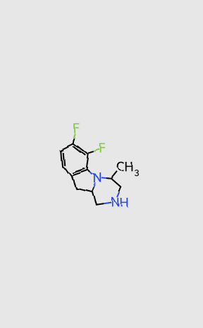 CC1CNCC2Cc3ccc(F)c(F)c3N12